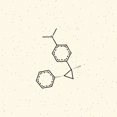 CN(C)c1ccc([C@@]2(C)C[C@@H]2c2ccccc2)cc1